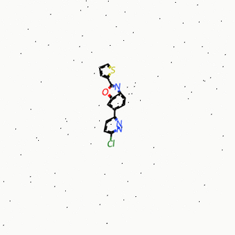 Clc1ccc(-c2ccc3nc(-c4cccs4)oc3c2)nn1